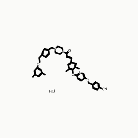 Cc1cc(C)cc(OCCc2ccc(CN3CCN(C(=O)C=Cc4cc(C)c(Oc5ccc(OCc6ccc(C#N)cc6)cn5)c(C)c4)CC3)cc2)c1.Cl